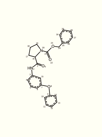 O=C(Nc1cccc(Oc2ccccc2)c1)C1CCCN1C(=O)OCc1ccccc1